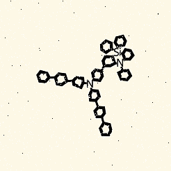 c1ccc(-c2ccc(-c3ccc(N(c4ccc(-c5ccc(-c6ccccc6)cc5)cc4)c4ccc(-c5ccc6c(c5)N(c5ccccc5)c5ccccc5[Si]6(c5ccccc5)c5ccccc5)cc4)cc3)cc2)cc1